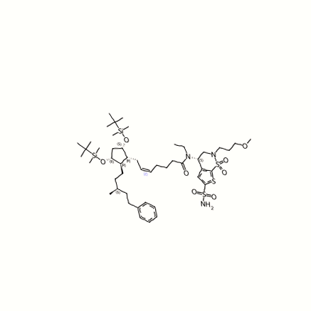 CCN(C(=O)CCC/C=C\C[C@@H]1[C@@H](CC[C@H](C)CCc2ccccc2)[C@H](O[Si](C)(C)C(C)(C)C)C[C@@H]1O[Si](C)(C)C(C)(C)C)[C@@H]1CN(CCCOC)S(=O)(=O)c2sc(S(N)(=O)=O)cc21